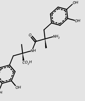 C[C@](N)(Cc1ccc(O)c(O)c1)C(=O)N[C@@](C)(Cc1ccc(O)c(O)c1)C(=O)O